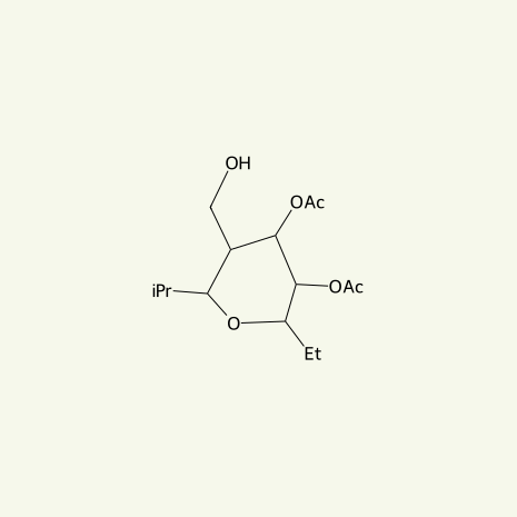 CCC1OC(C(C)C)C(CO)C(OC(C)=O)C1OC(C)=O